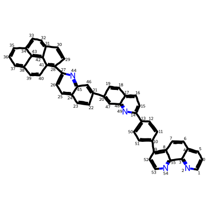 c1cnc2c(c1)ccc1c(-c3ccc(-c4ccc5ccc(-c6ccc7ccc(-c8ccc9ccc%10cccc%11ccc8c9c%10%11)nc7c6)cc5n4)cc3)ccnc12